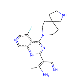 C/C(N)=C(/C=N)c1nc(N2CCC3(CCNC3)CC2)c2c(F)cncc2n1